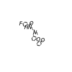 CCN(CCCNC(=O)c1ccc(F)cc1)Cc1cccc(Oc2ccccc2OC)c1